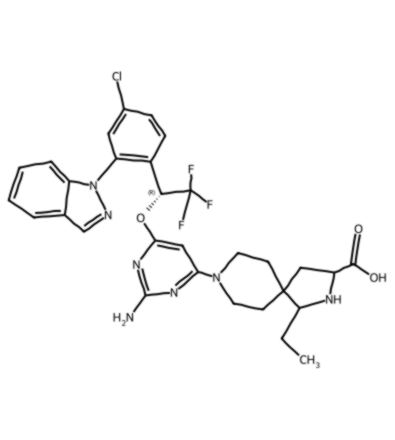 CCC1NC(C(=O)O)CC12CCN(c1cc(O[C@H](c3ccc(Cl)cc3-n3ncc4ccccc43)C(F)(F)F)nc(N)n1)CC2